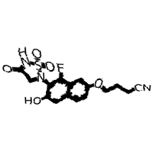 N#CCCCOc1ccc2cc(O)c(N3CC(=O)NS3(=O)=O)c(F)c2c1